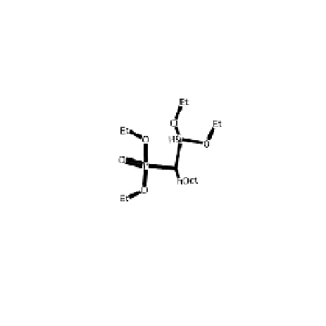 CCCCCCCCC([SiH](OCC)OCC)P(=O)(OCC)OCC